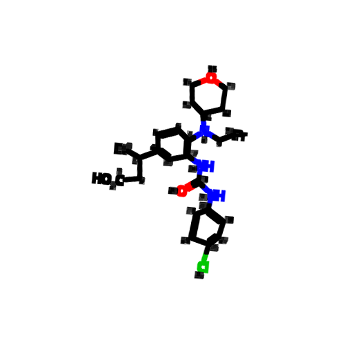 CCC(CC(=O)O)c1ccc(N(CC(C)C)C2CCOCC2)c(NC(=O)Nc2ccc(Cl)cc2)c1